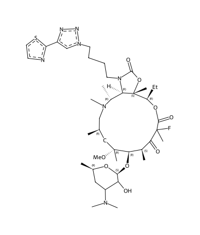 CC[C@H]1OC(=O)C(C)(F)C(=O)[C@@H](C)[C@@H](O[C@@H]2O[C@H](C)CC(N(C)C)C2O)[C@](C)(OC)C[C@@H](C)CN(C)[C@H](C)[C@H]2N(CCCCn3cc(-c4nccs4)nn3)C(=O)O[C@]12C